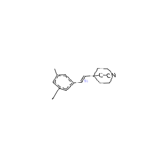 Cc1cc(C)cc(/C=C/C23CCN(CC2)CC3)c1